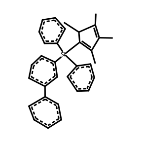 CC1=C(C)C(C)C([Si](c2ccccc2)(c2ccccc2)c2cccc(-c3ccccc3)c2)=C1C